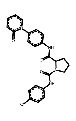 O=C(Nc1ccc(-n2ccccc2=O)cc1)C1CCCN1C(=O)Nc1ccc(Cl)cc1